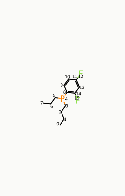 CCCCP(CCC)c1ccc(F)cc1F